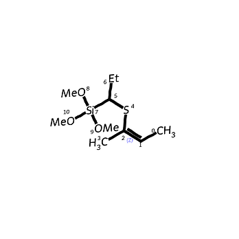 C/C=C(/C)SC(CC)[Si](OC)(OC)OC